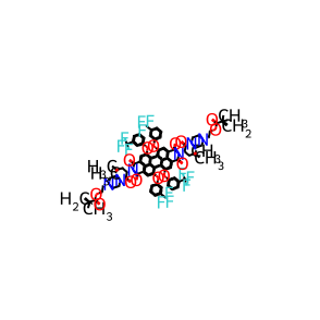 C=C(C)C(=O)OCCN1CCN(C(=O)C(CC(C)C)N2C(=O)c3cc(Oc4cccc(C(F)(F)F)c4)c4c5c(Oc6cccc(C(F)(F)F)c6)cc6c7c(cc(Oc8cccc(C(F)(F)F)c8)c(c8c(Oc9cccc(C(F)(F)F)c9)cc(c3c48)C2=O)c75)C(=O)N(C(CC(C)C)C(=O)N2CCN(CCOC(=O)C(=C)C)CC2)C6=O)CC1